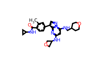 Cc1cc(-c2cnn3c(NCC4CCOCC4)cc(NC4COC4)nc23)ccc1C(=O)NC1CC1